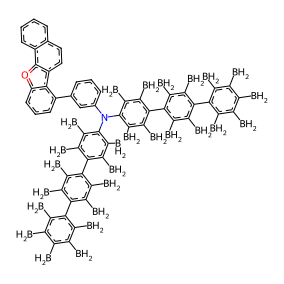 Bc1c(B)c(B)c(-c2c(B)c(B)c(-c3c(B)c(B)c(N(c4cccc(-c5cccc6oc7c8ccccc8ccc7c56)c4)c4c(B)c(B)c(-c5c(B)c(B)c(-c6c(B)c(B)c(B)c(B)c6B)c(B)c5B)c(B)c4B)c(B)c3B)c(B)c2B)c(B)c1B